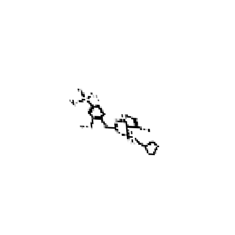 COc1cc(P(C)(C)=O)ccc1NC1=Nc2[nH]cc(C#N)c2C(C)(NCC2CCCC2)N1